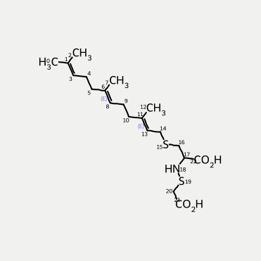 CC(C)=CCC/C(C)=C/CC/C(C)=C/CSCC(NSCC(=O)O)C(=O)O